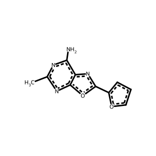 Cc1nc(N)c2nc(-c3ccco3)oc2n1